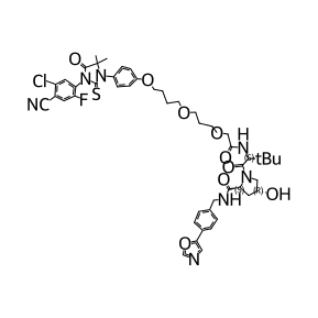 CC(C)(C)[C@H](NC(=O)COCCCOCCCCOc1ccc(N2C(=S)N(c3cc(Cl)c(C#N)cc3F)C(=O)C2(C)C)cc1)C(=O)N1C[C@H](O)C[C@H]1C(=O)NCc1ccc(-c2cnco2)cc1